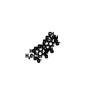 CCN(O)c1c([N+](=O)[O-])cc([N+](=O)[O-])c(-c2nnc(-c3c([N+](=O)[O-])cc([N+](=O)[O-])c(N(O)CC)c3[N+](=O)[O-])o2)c1[N+](=O)[O-]